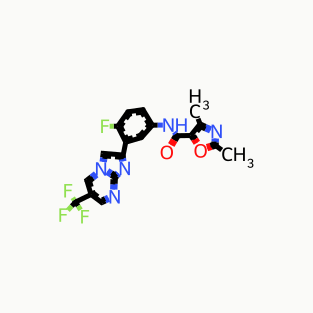 Cc1nc(C)c(C(=O)Nc2ccc(F)c(-c3cn4cc(C(F)(F)F)cnc4n3)c2)o1